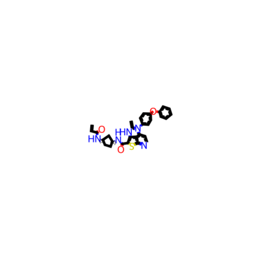 C=CC(=O)N[C@H]1CC[C@@H](NC(=O)c2sc3nccc4c3c2[nH]c(=C)n4-c2ccc(Oc3ccccc3)cc2)C1